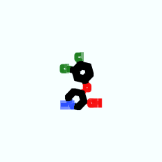 O[C@@H]1CNCC[C@H]1Oc1ccc(Cl)c(Cl)c1